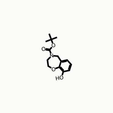 CC(C)(C)OC(=O)N1CCOc2c(O)cccc2C1